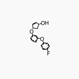 O[C@@H]1C=C[C@@H](Oc2cccc(Oc3ccc(F)cc3)c2)C1